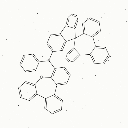 c1ccc(N(c2ccc3c(c2)C2(c4ccccc4-c4ccccc4-c4ccccc42)c2ccccc2-3)c2cccc3c2Oc2ccccc2-c2ccccc2-3)cc1